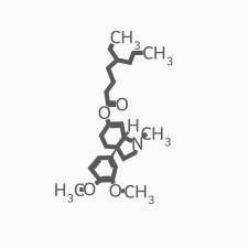 CCCC(CC)CCCC(=O)OC1=C[C@@H]2N(C)CC[C@]2(c2ccc(OC)c(OC)c2)CC1